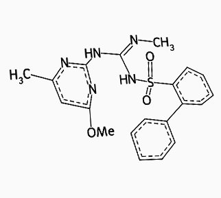 CN=C(Nc1nc(C)cc(OC)n1)NS(=O)(=O)c1ccccc1-c1ccccc1